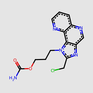 NC(=O)OCCCn1c(CCl)nc2cnc3cccnc3c21